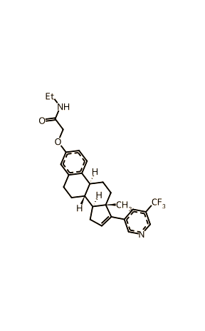 CCNC(=O)COc1ccc2c(c1)CC[C@@H]1[C@@H]2CC[C@]2(C)C(c3cncc(C(F)(F)F)c3)=CC[C@@H]12